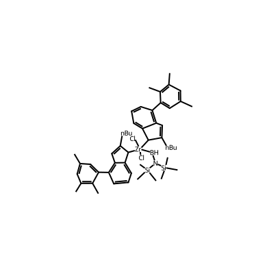 CCCCC1=Cc2c(-c3cc(C)cc(C)c3C)cccc2[CH]1[Zr]([Cl])([Cl])([BH]N([Si](C)(C)C)[Si](C)(C)C)[CH]1C(CCCC)=Cc2c(-c3cc(C)cc(C)c3C)cccc21